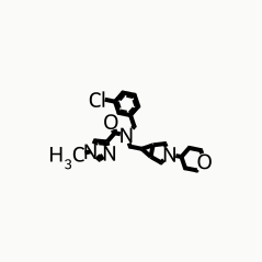 Cn1cnc(C(=O)N(Cc2cccc(Cl)c2)CC2C3CN(C4CCOCC4)CC23)c1